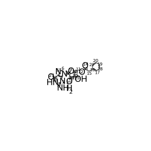 Nc1nc2c(ncn2[C@@H]2O[C@H](COC(=O)Cc3ccccc3)[C@@H](O)[C@H]2O)c(=O)[nH]1